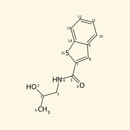 CC(O)CNC(=O)c1cc2ccccc2s1